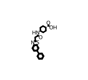 O=C(Cc1nc2ccc(-c3ccccc3)cc2s1)N[C@H]1CC[C@@H](C(=O)O)CC1